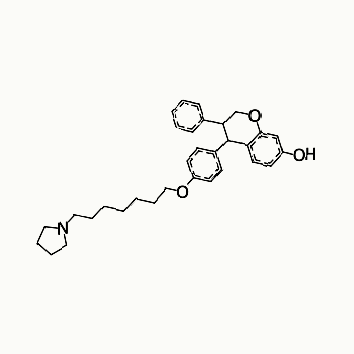 Oc1ccc2c(c1)OCC(c1ccccc1)C2c1ccc(OCCCCCCCN2CCCC2)cc1